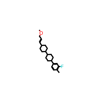 COCC=CC1CCC(C2CCC(c3ccc(C)c(F)c3)CC2)CC1